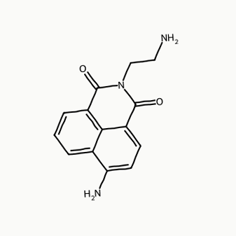 NCCN1C(=O)c2cccc3c(N)ccc(c23)C1=O